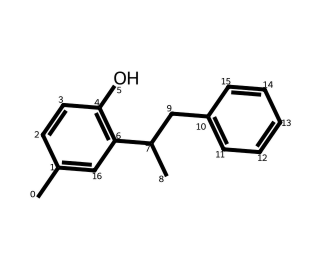 Cc1ccc(O)c(C(C)Cc2ccccc2)c1